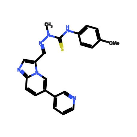 COc1ccc(NC(=S)N(C)/N=C/c2cnc3ccc(-c4cccnc4)cn23)cc1